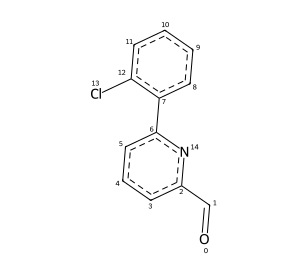 O=Cc1cccc(-c2ccccc2Cl)n1